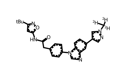 [2H]C([2H])([2H])n1cc(-c2ccc3c(c2)ncn3-c2ccc(CC(=O)Nc3cc(C(C)(C)C)no3)cc2)cn1